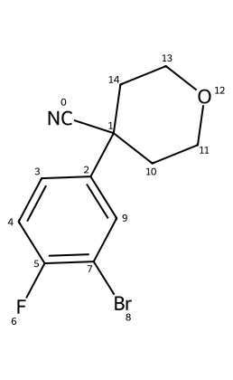 N#CC1(c2ccc(F)c(Br)c2)CCOCC1